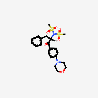 CCC(Cc1ccccc1)(C(=O)c1ccc(N2CCOCC2)cc1)N(S(C)(=O)=O)S(C)(=O)=O